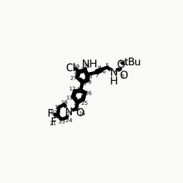 CC(C)(C)OC(=O)NCC#Cc1cc(-c2ccc(C(=O)N3CCC(F)(F)CC3)cc2)cc(Cl)c1N